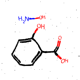 NO.O=C(O)c1ccccc1O